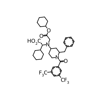 O=C(CN(C1CCN(C(=O)c2cc(C(F)(F)F)cc(C(F)(F)F)c2)C(Cc2ccccc2)C1)[C@H](C(=O)O)C1CCCCC1)OC1CCCCC1